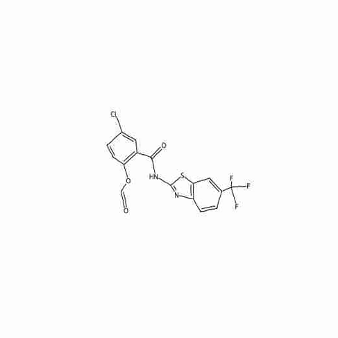 O=COc1ccc(Cl)cc1C(=O)Nc1nc2ccc(C(F)(F)F)cc2s1